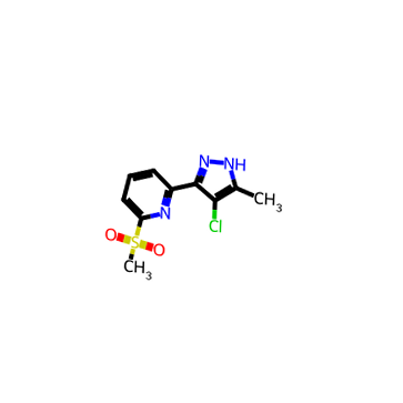 Cc1[nH]nc(-c2cccc(S(C)(=O)=O)n2)c1Cl